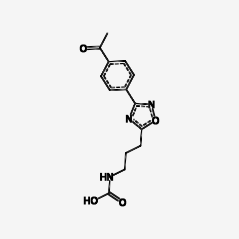 CC(=O)c1ccc(-c2noc(CCCNC(=O)O)n2)cc1